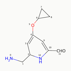 NCC1C=C(OC2CC2)C=C(C=O)N1